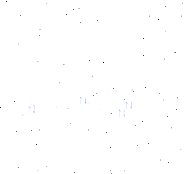 c1ccc(-c2nnc(-c3csc(-c4cccnc4)n3)o2)cc1